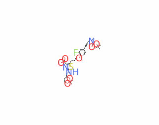 COC(=O)c1nc(NCC2CCOC(C)(C)O2)sc1CCCOc1ccc(C#CCN(C)C(=O)OC(C)(C)C)cc1F